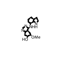 COc1cc2c(Nc3cccc4cc[nH]c34)ncnc2cc1O